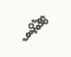 Cc1cc(C)c2c3c(n(Cc4ccc(C(C(=O)NCc5cccc(CO)c5)C5CCCCCC5)cc4)c2n1)CCCC3